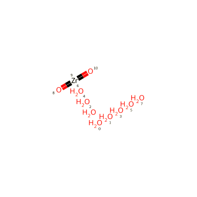 O.O.O.O.O.O.O.O.[O]=[Zr]=[O]